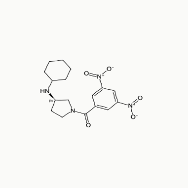 O=C(c1cc([N+](=O)[O-])cc([N+](=O)[O-])c1)N1CC[C@@H](NC2CCCCC2)C1